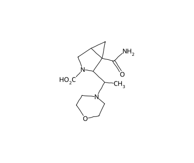 CC(C1N(C(=O)O)CC2CC21C(N)=O)N1CCOCC1